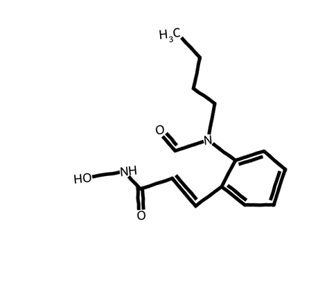 CCCCN(C=O)c1ccccc1/C=C/C(=O)NO